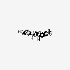 CC(C)(O)CN/C=C(\C=N)Nc1ncc(Cl)c(NC2CCC3(CC2)CCN(S(C)(=O)=O)CC3)n1